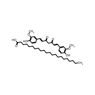 CCCCCCCCCCCCCCCCCCCCCC(=O)O.COc1cc(/C=C/C(=O)CC(=O)/C=C/c2ccc(O)c(OC)c2)ccc1O